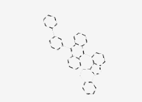 c1ccc(-c2cccc(-c3c4ccccc4c(-c4cccc5oc6c(c45)CCc4ccccc4-6)c4ccccc34)c2)cc1